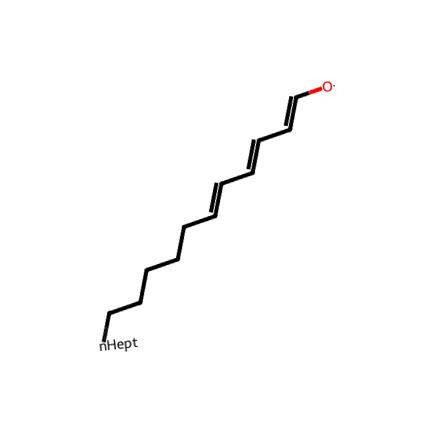 CCCCCCCCCCCCC=CC=CC=C[O]